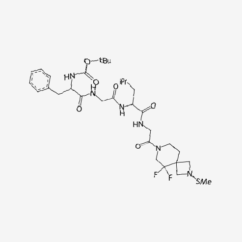 CSN1CC2(CCN(C(=O)CNC(=O)C(CC(C)C)NC(=O)CNC(=O)C(Cc3ccccc3)NC(=O)OC(C)(C)C)CC2(F)F)C1